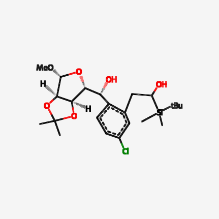 CO[C@@H]1O[C@H]([C@H](O)c2ccc(Cl)cc2CC(O)[Si](C)(C)C(C)(C)C)[C@H]2OC(C)(C)O[C@@H]12